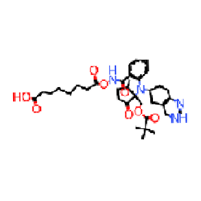 CC1CCC(=O)C1(COC(=O)C(C)(C)C)N(c1ccccc1C(=O)NOC(=O)CCCCCCC(=O)O)C1CCC2=C(CNC=N2)C1